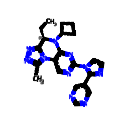 CC[C@@H]1c2nnc(C)n2-c2cnc(-n3ccnc3-c3cncnc3)nc2N1C1CCC1